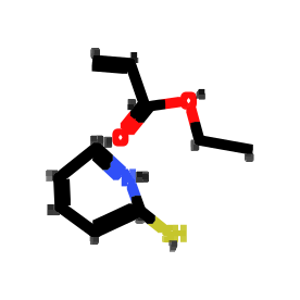 C=CC(=O)OCC.Sc1ccccn1